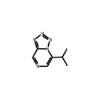 CC(C)c1cncc2nnnn12